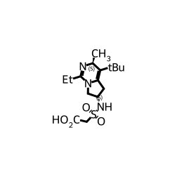 CCC1=N[C@@H](C)C(C(C)(C)C)=C2C[C@H](NS(=O)(=O)CC(=O)O)CN12